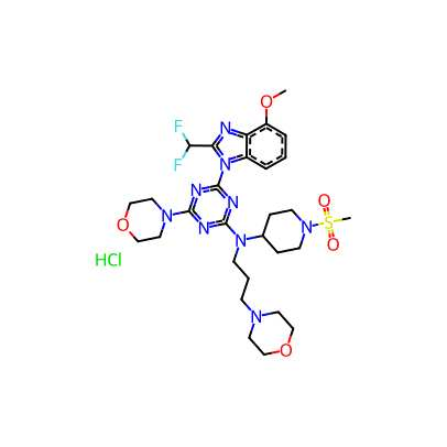 COc1cccc2c1nc(C(F)F)n2-c1nc(N2CCOCC2)nc(N(CCCN2CCOCC2)C2CCN(S(C)(=O)=O)CC2)n1.Cl